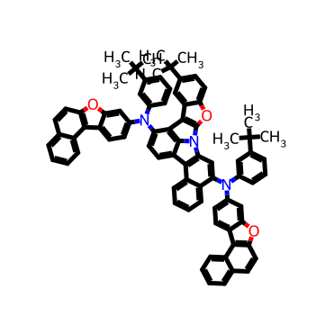 CC(C)(C)c1cccc(N(c2ccc3c(c2)oc2ccc4ccccc4c23)c2cc3c(c4ccccc24)c2ccc(N(c4cccc(C(C)(C)C)c4)c4ccc5c(c4)oc4ccc6ccccc6c45)c4c5c6cc(C(C)(C)C)ccc6oc5n3c24)c1